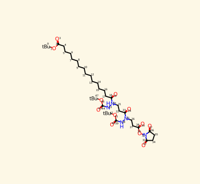 CC(C)(C)OC(=O)CCCCCCCCCCCCCCC(=O)N(CCC(=O)N(CCC(=O)ON1C(=O)CCC1=O)NC(=O)OC(C)(C)C)NC(=O)OC(C)(C)C